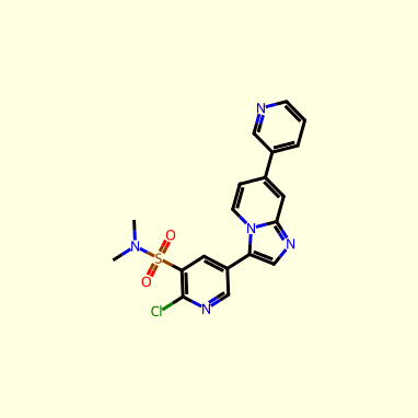 CN(C)S(=O)(=O)c1cc(-c2cnc3cc(-c4cccnc4)ccn23)cnc1Cl